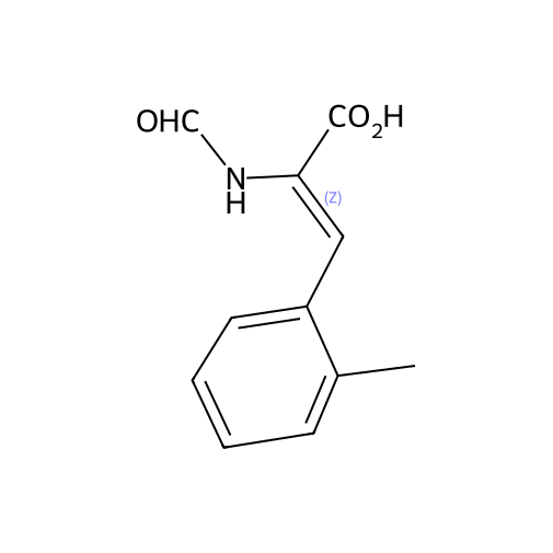 Cc1ccccc1/C=C(\NC=O)C(=O)O